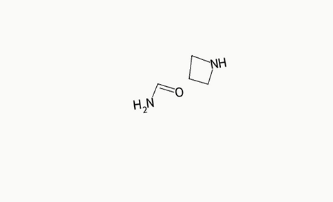 C1CNC1.NC=O